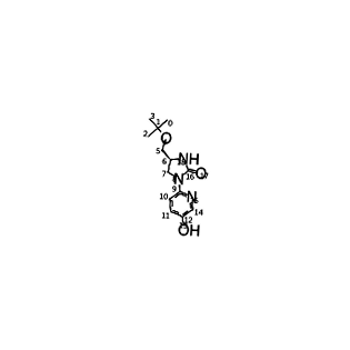 CC(C)(C)OC[C@@H]1CN(c2ccc(O)cn2)C(=O)N1